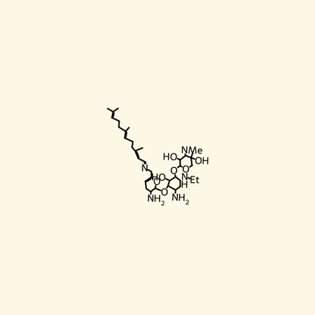 CCNC1CC(N)C(OC2OC(C/N=C/C=C(\C)CC/C=C(\C)CCC=C(C)C)=CCC2N)C(O)C1OC1OCC(C)(O)C(NC)C1O